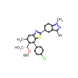 Cc1cc2nc(-c3ccc4c(c3)c(C(C)C)nn4C)sc2c(-c2ccc(Cl)cc2)c1[C@H](OC(C)(C)C)C(=O)O